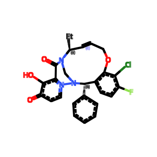 CC[C@H]1/C=C/COc2c(ccc(F)c2Cl)[C@H](c2ccccc2)N2CN1C(=O)c1c(O)c(=O)ccn12